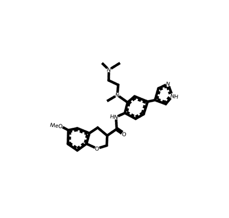 COc1ccc2c(c1)CC(C(=O)Nc1ccc(-c3cn[nH]c3)cc1N(C)CCN(C)C)CO2